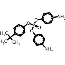 CC(C)(C)c1ccc(OP(=O)(Oc2ccc(N)cc2)Oc2ccc(N)cc2)cc1